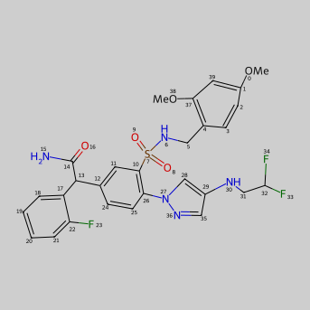 COc1ccc(CNS(=O)(=O)c2cc(C(C(N)=O)c3ccccc3F)ccc2-n2cc(NCC(F)F)cn2)c(OC)c1